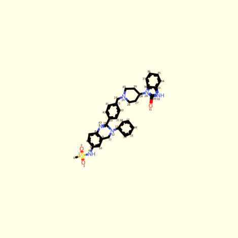 CS(=O)(=O)Nc1ccc2c(c1)CN(c1ccccc1)C(c1ccc(CN3CCC(n4c(=O)[nH]c5ccccc54)CC3)cc1)=N2